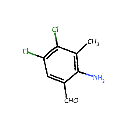 Cc1c(N)c(C=O)cc(Cl)c1Cl